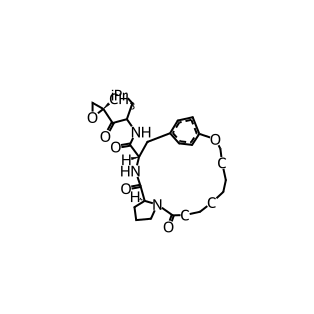 CC(C)CC(NC(=O)[C@@H]1Cc2ccc(cc2)OCCCCCCCC(=O)N2CCC[C@H]2C(=O)N1)C(=O)[C@@]1(C)CO1